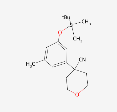 Cc1cc(O[Si](C)(C)C(C)(C)C)cc(C2(C#N)CCOCC2)c1